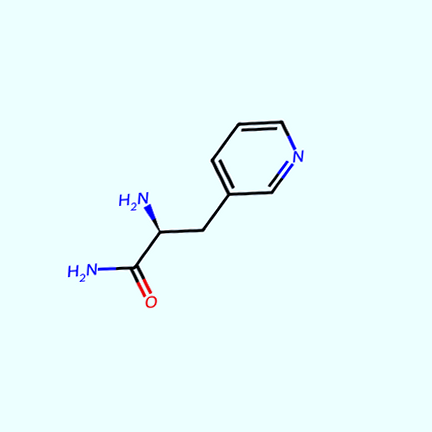 NC(=O)[C@@H](N)Cc1cccnc1